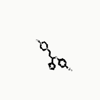 CCN1CCN(CCC(Oc2ccc(C(F)(F)F)cc2)c2ccsc2)CC1